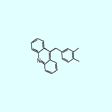 Cc1ccc(Cc2c3ccccc3nc3ccccc23)cc1C